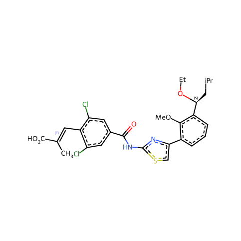 CCO[C@@H](CC(C)C)c1cccc(-c2csc(NC(=O)c3cc(Cl)c(/C=C(\C)C(=O)O)c(Cl)c3)n2)c1OC